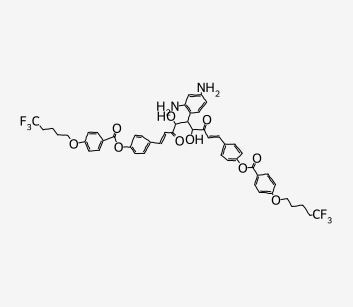 Nc1ccc(C(C(O)C(=O)/C=C/c2ccc(OC(=O)c3ccc(OCCCCC(F)(F)F)cc3)cc2)C(O)C(=O)/C=C/c2ccc(OC(=O)c3ccc(OCCCCC(F)(F)F)cc3)cc2)c(N)c1